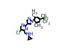 Cc1cc(C(F)(C(F)(F)F)C(F)(F)F)cc(C)c1-n1cc(-c2ncc(Cl)c(CNC3CC3)n2)cn1